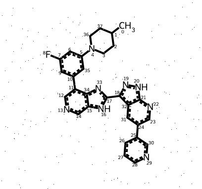 CC1CCN(c2cc(F)cc(-c3cncc4[nH]c(-c5n[nH]c6ncc(-c7cccnc7)cc56)nc34)c2)CC1